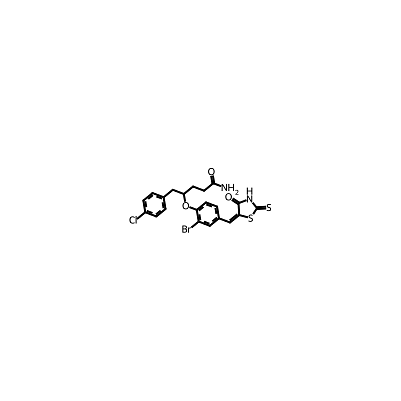 NC(=O)CCC(Cc1ccc(Cl)cc1)Oc1ccc(/C=C2/SC(=S)NC2=O)cc1Br